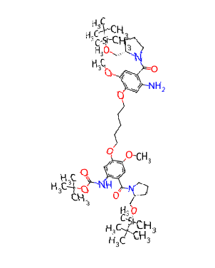 COc1cc(C(=O)N2CCC[C@H]2CO[Si](C)(C)C(C)(C)C)c(N)cc1OCCCCCOc1cc(NC(=O)OC(C)(C)C)c(C(=O)N2CCC[C@H]2CO[Si](C)(C)C(C)(C)C)cc1OC